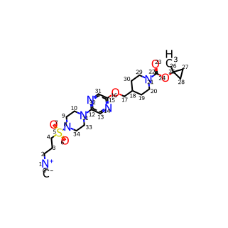 [C-]#[N+]CCCS(=O)(=O)N1CCN(c2cnc(OCC3CCN(C(=O)OC4(C)CC4)CC3)cn2)CC1